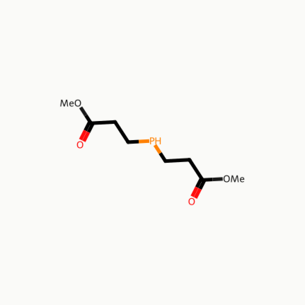 COC(=O)CCPCCC(=O)OC